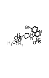 CC(C)(C)OC(=O)N1CCC(Nc2c([N+](=O)[O-])cnc3ccc(Br)cc23)C1